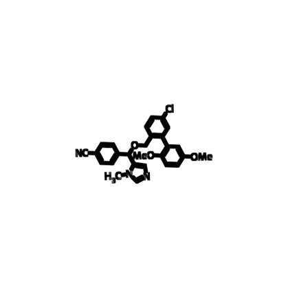 COc1ccc(OC)c(-c2cc(Cl)ccc2COC(c2ccc(C#N)cc2)c2cncn2C)c1